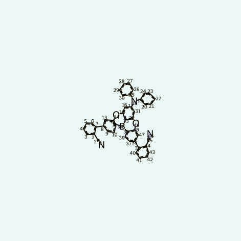 N#Cc1ccccc1-c1ccc2c(c1)Oc1cc(N(c3ccccc3)c3ccccc3)cc3c1B2c1ccc(-c2ccccc2C#N)cc1O3